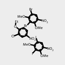 CCOc1ccc([N+](=O)[O-])cc1Cl.COc1c(Br)cc([N+](=O)[O-])c(OC)c1Br.COc1c(I)cc([N+](=O)[O-])c(OC)c1I